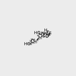 O=C(Nc1nc2c(O)cc(C#CCc3cccc(CO)c3)cc2s1)C(F)(F)F